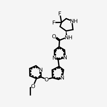 CCOc1cccnc1Oc1cncc(-c2ncc(C(=O)N[C@@H]3CNCC(F)(F)C3)cn2)c1